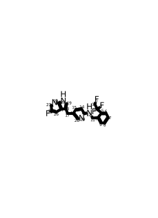 FCC(F)(F)c1ccccc1CNc1ccc(Cc2c[nH]c3ncc(F)cc23)cn1